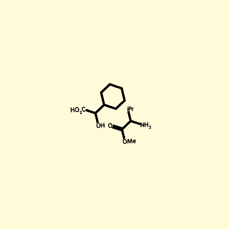 COC(=O)C(N)C(C)C.O=C(O)C(O)C1CCCCC1